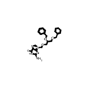 Nc1nc2c(ncn2COCC(COCc2ccccc2)OCc2ccccc2)c(=O)[nH]1